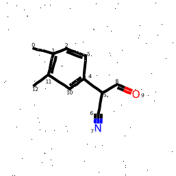 Cc1ccc(C(C#N)C=O)cc1C